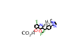 CCc1nc2c(F)ccc(OCC(=O)O)c2c(OC(F)F)c1Cc1ccc(-c2nccn2C)cc1